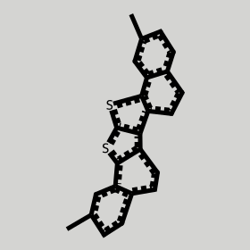 Cc1ccc2ccc3c(sc4sc5c6cc(C)ccc6ccc5c43)c2c1